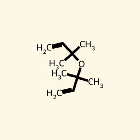 C=CC(C)(C)OC(C)(C)C=C